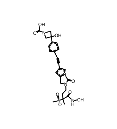 CC(CCN1Cc2cc(C#Cc3ccc(C4(O)CN(C(=O)O)C4)cc3)cn2C1=O)(C(=O)NO)S(C)(=O)=O